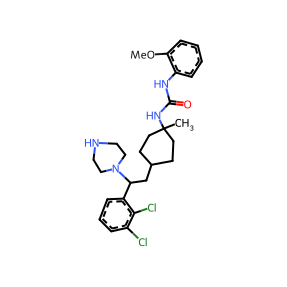 COc1ccccc1NC(=O)NC1(C)CCC(CC(c2cccc(Cl)c2Cl)N2CCNCC2)CC1